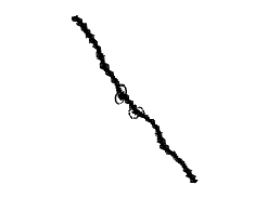 CCCCCCCCCCCCCCCCCCCCCCOC(=O)CCCCCC(=O)OCCCCCCCCCCCCCCCCCCCCCC